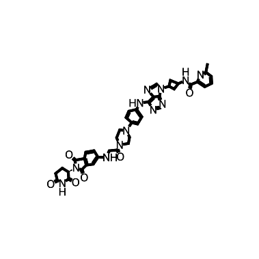 Cc1cccc(C(=O)NC2CC(n3cnc4c(Nc5ccc(N6CCN(C(=O)CNc7ccc8c(c7)C(=O)N([C@H]7CCC(=O)NC7=O)C8=O)CC6)cc5)ncnc43)C2)n1